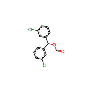 O=COC(c1cccc(Cl)c1)c1cccc(Cl)c1